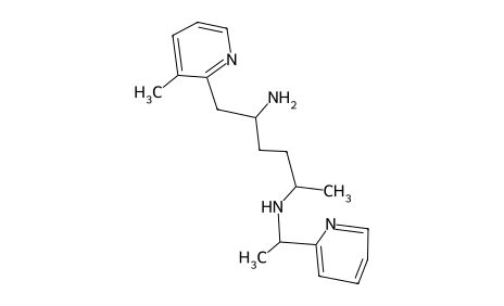 Cc1cccnc1CC(N)CCC(C)NC(C)c1ccccn1